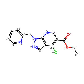 CCOC(=O)c1cnc2c(cnn2Cc2ccccn2)c1Cl